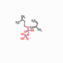 C=C(C)CCOP(=O)(O)OP(=O)(O)O.C=CC(=C)C